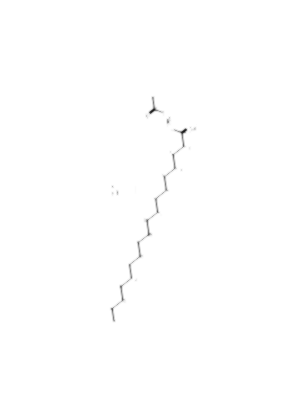 CCCCCCCCCCCCCCCCCC(=O)SOC(C)=O.[NaH]